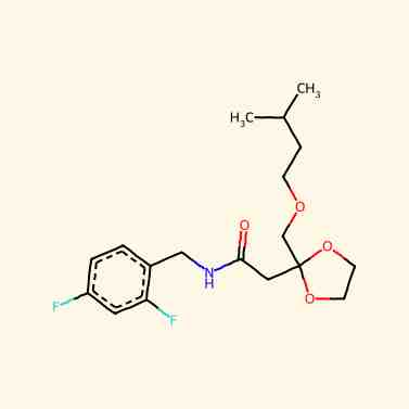 CC(C)CCOCC1(CC(=O)NCc2ccc(F)cc2F)OCCO1